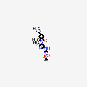 C/N=C/c1ccc2c(c1)C(C)(C)N(c1cncc(NC3CN(S(=O)(=O)C4CC4)C3)c1)C2=O